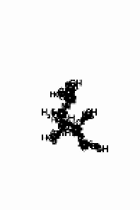 COc1cc(N=Nc2ccc3cc(S(=O)(=O)O)cc(S(=O)(=O)O)c3c2)ccc1Nc1nc(NCCS(=O)(=O)O)nc(Nc2ccc(N=Nc3cccc(SOOO)c3)cc2OCCCS(=O)(=O)O)n1